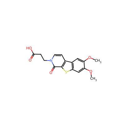 COc1cc2sc3c(=O)n(CCC(=O)O)ccc3c2cc1OC